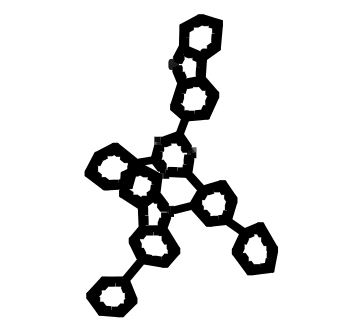 c1ccc(-c2ccc(-c3nc(-c4ccccc4)nc(-c4ccc5c(c4)oc4ccccc45)n3)c(-n3c4ccccc4c4cc(-c5ccccc5)ccc43)c2)cc1